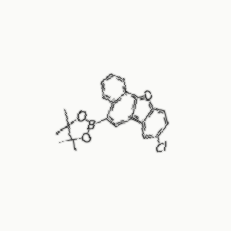 CC1(C)OB(c2cc3c4cc(Cl)ccc4oc3c3ccccc23)OC1(C)C